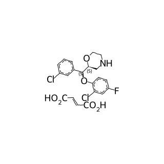 Fc1ccc(O[C@@H](c2cccc(Cl)c2)[C@@H]2CNCCO2)c(Cl)c1.O=C(O)C=CC(=O)O